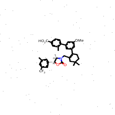 COc1cc(C2=C(CN3C(=O)O[C@H](c4cc(C)cc(C(F)(F)F)c4)[C@@H]3C)CC(C)(C)CC2)cc(-c2ccc(C(=O)O)cc2C)c1